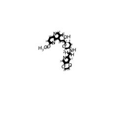 [2H]C([2H])(N[C@@H]1CC[C@@H]([C@@H](O)Cc2c(F)cnc3ccc(OC)nc23)OC1)c1cc2c(cn1)OCCO2